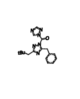 CC(C)(C)Cc1nc(Cc2ccccc2)n(C(=O)n2cncn2)n1